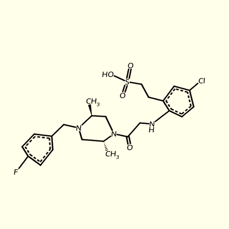 C[C@@H]1CN(Cc2ccc(F)cc2)[C@@H](C)CN1C(=O)CNc1ccc(Cl)cc1CCS(=O)(=O)O